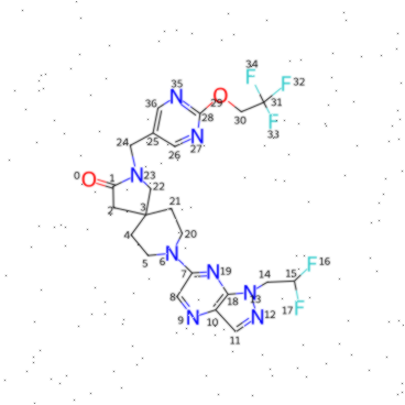 O=C1CC2(CCN(c3cnc4cnn(CC(F)F)c4n3)CC2)CN1Cc1cnc(OCC(F)(F)F)nc1